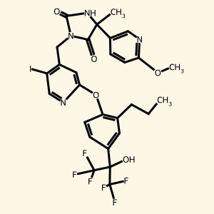 CCCc1cc(C(O)(C(F)(F)F)C(F)(F)F)ccc1Oc1cc(CN2C(=O)NC(C)(c3ccc(OC)nc3)C2=O)c(I)cn1